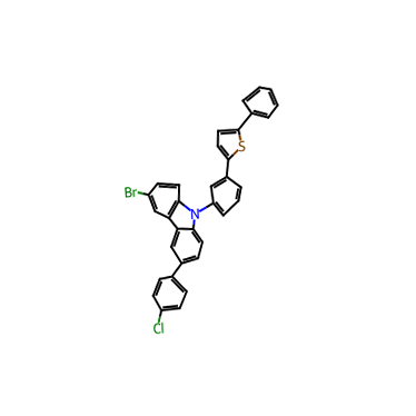 Clc1ccc(-c2ccc3c(c2)c2cc(Br)ccc2n3-c2cccc(-c3ccc(-c4ccccc4)s3)c2)cc1